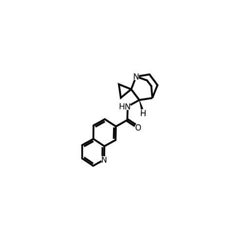 O=C(N[C@H]1C2CCN(CC2)C12CC2)c1ccc2cccnc2c1